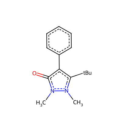 Cn1c(C(C)(C)C)c(-c2ccccc2)c(=O)n1C